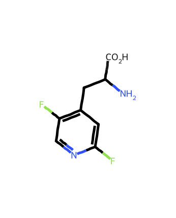 NC(Cc1cc(F)ncc1F)C(=O)O